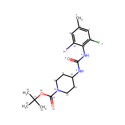 Cc1cc(F)c(NC(=O)NC2CCN(C(=O)OC(C)(C)C)CC2)c(I)c1